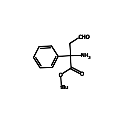 CC(C)(C)OC(=O)C(N)(CC=O)c1ccccc1